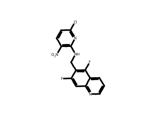 O=[N+]([O-])c1ccc(Cl)nc1NCc1c(F)cc2ncccc2c1F